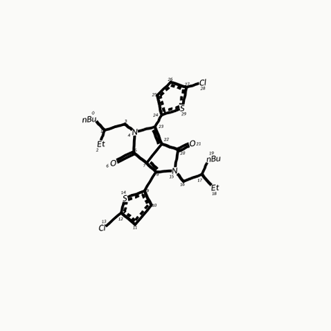 CCCCC(CC)CN1C(=O)C2=C(c3ccc(Cl)s3)N(CC(CC)CCCC)C(=O)C2=C1c1ccc(Cl)s1